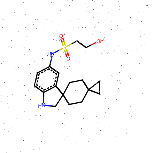 O=S(=O)(CCO)Nc1ccc2c(c1)C1(CCC3(CC3)CC1)CN2